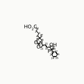 O=C(O)CCCCC(F)(F)CN1C(=O)OCC1/C=C/C(O)C(F)(F)c1ccccc1